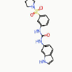 O=C(Nc1cccc(S(=O)(=O)N2CCCC2)c1)Nc1ccc2cc[nH]c2c1